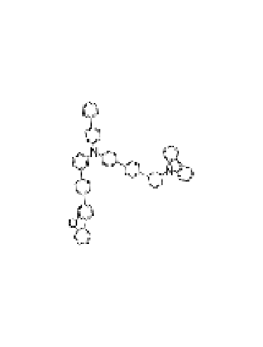 c1ccc(-c2ccc(N(c3ccc(-c4ccc(-c5cccc(-n6c7ccccc7c7ccccc76)c5)cc4)cc3)c3cccc(-c4ccc(-c5ccc6c(c5)oc5ccccc56)cc4)c3)cc2)cc1